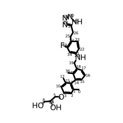 Cc1cc(OC[C@@H](O)CO)cc(C)c1-c1cccc(CNc2ccc(CCc3nnn[nH]3)c(F)c2)c1C